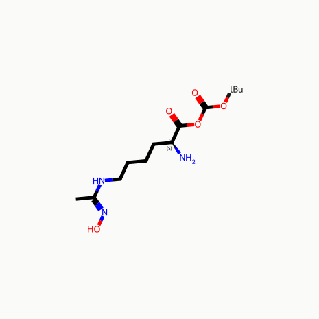 CC(=NO)NCCCC[C@H](N)C(=O)OC(=O)OC(C)(C)C